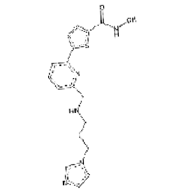 O=C(NO)c1ccc(-c2cccc(CNCCCn3ccnc3)n2)s1